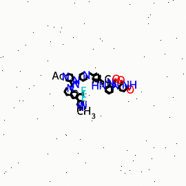 CC(=O)N1CCc2c(c(N3CCCc4cc(-c5cnn(C)c5)c(C(F)F)cc43)nn2C2CCN(Cc3ccc(CNc4cccc5c4n(C)c(=O)n5C4CCC(=O)NC4=O)cc3)CC2)C1